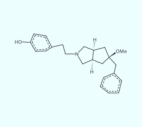 CO[C@@]1(Cc2ccccc2)C[C@H]2CN(CCc3ccc(O)cc3)C[C@H]2C1